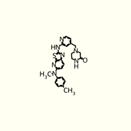 Cc1ccc(N(C)c2ccc3nc(Nc4cc(CN5CCNC(=O)C5)ccn4)sc3n2)cc1